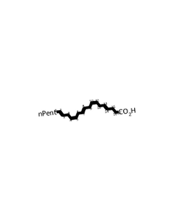 CCCCC/C=C/C/C=C\C/C=C/C/C=C\C/C=C/CCC(=O)O